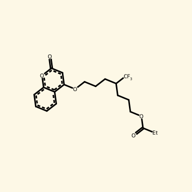 CCC(=O)OCCCC(CCCOc1cc(=O)oc2ccccc12)C(F)(F)F